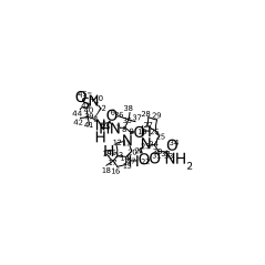 CN(C[C@@H](NC(=O)N[C@H](C(=O)N1C[C@H]2[C@H](CCC2(C)C)[C@H]1C(=O)NC(CC1CCC1)C(=O)C(N)=O)C(C)(C)C)C(C)(C)C)[S+](C)[O-]